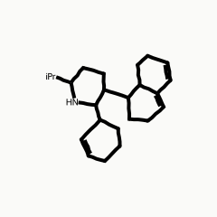 CC(C)C1CCC(C2CCC=C3C=CCCC32)C(C2C=CCCC2)N1